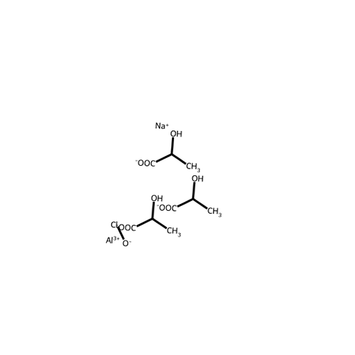 CC(O)C(=O)[O-].CC(O)C(=O)[O-].CC(O)C(=O)[O-].[Al+3].[Na+].[O-]Cl